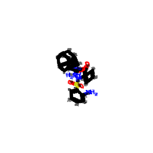 NC(=O)C12CC3CC(C1)C(NC(=O)C1(NS(=O)(=O)c4ccccc4N)CCC1)C(C3)C2